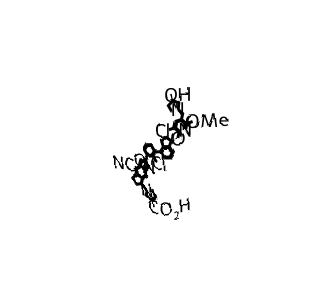 COc1nc(O[C@H]2CCc3c(-c4cccc(-c5nc6cc7c(c(C#N)c6o5)CCC7N5CC[C@@H](C(=O)O)C5)c4Cl)cccc32)c(Cl)cc1CN1CC[C@@H](O)C1